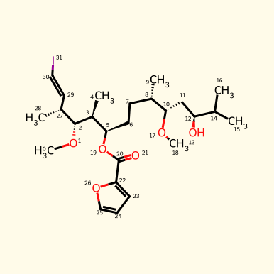 CO[C@@H]([C@@H](C)[C@@H](CC[C@H](C)[C@H](C[C@H](O)C(C)C)OC)OC(=O)c1ccco1)[C@H](C)/C=C/I